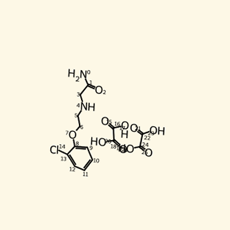 NC(=O)CNCCOc1ccccc1Cl.O=C(O)C(=O)O.O=C(O)C(=O)O